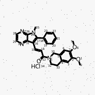 COc1cc2c(cc1OC)CN(C(=O)C=Cc1c(-c3ccccc3)n(C)c3nccnc13)CC2.Cl